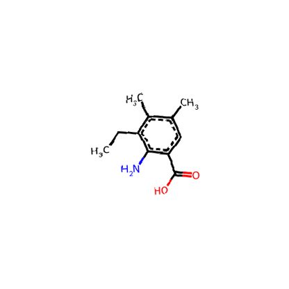 CCc1c(C)c(C)cc(C(=O)O)c1N